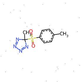 Cc1ccc(S(=O)(=O)C2(C)N=NN=N2)cc1